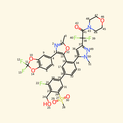 Cc1nc(-c2ccc3c(c2)OC(F)(F)O3)c(-c2cc(-c3cc(F)c(CO)c(S(C)(=O)=O)c3)ccc2-c2cc(C(F)(F)C(=O)N3CCOCC3)nn2C)o1